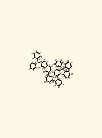 c1ccc(N(c2ccccc2)c2ccc3ccc(-c4cccc(-c5ccccc5-c5cccc6c5-c5ccccc5C65c6ccccc6-c6ccccc65)c4)cc3c2)cc1